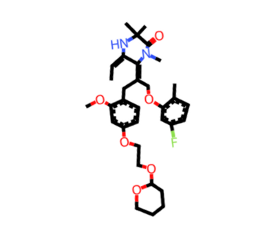 C/C=C1/NC(C)(C)C(=O)N(C)/C1=C(\COc1cc(F)ccc1C)Cc1ccc(OCCOC2CCCCO2)cc1OC